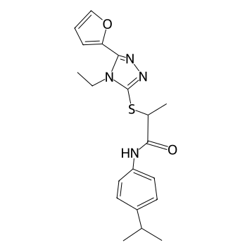 CCn1c(SC(C)C(=O)Nc2ccc(C(C)C)cc2)nnc1-c1ccco1